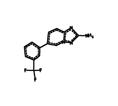 Nc1nc2ccc(-c3cccc(C(F)(F)F)c3)cn2n1